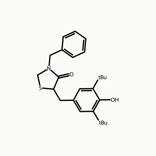 CC(C)(C)c1cc(CC2SCN(Cc3ccccc3)C2=O)cc(C(C)(C)C)c1O